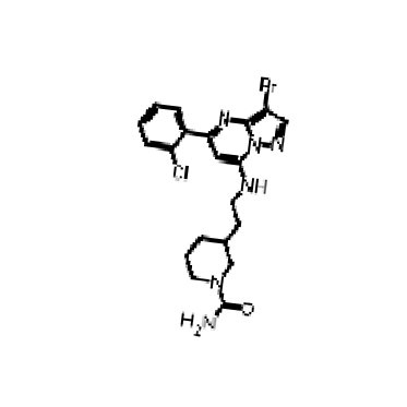 NC(=O)N1CCCC(CCNc2cc(-c3ccccc3Cl)nc3c(Br)cnn23)C1